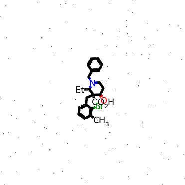 CCC1N(Cc2ccccc2)CCC(=O)C1(Cc1cccc(C)c1Br)C(=O)O